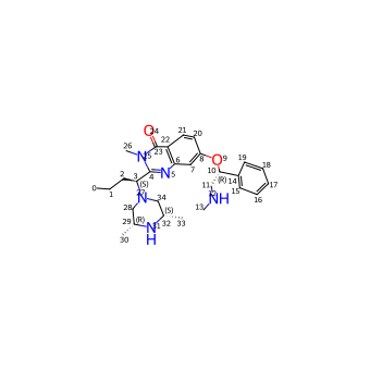 CCC[C@@H](c1nc2cc(O[C@@H](CNC)c3ccccc3)ccc2c(=O)n1C)N1C[C@@H](C)N[C@@H](C)C1